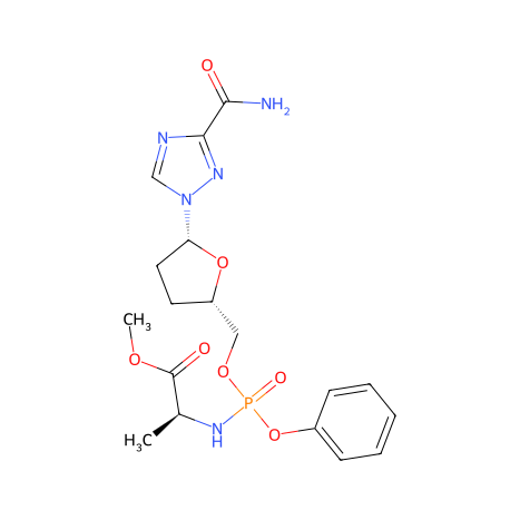 COC(=O)[C@H](C)NP(=O)(OC[C@@H]1CC[C@H](n2cnc(C(N)=O)n2)O1)Oc1ccccc1